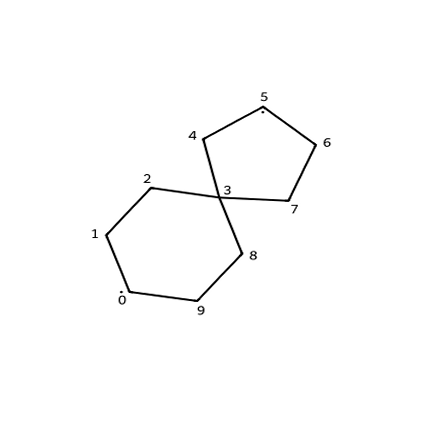 [CH]1CCC2(C[CH]CC2)CC1